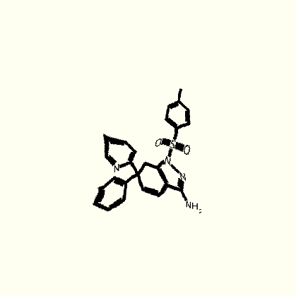 Cc1ccc(S(=O)(=O)n2nc(N)c3c2CC(c2ccccc2)(c2ccccn2)C=C3)cc1